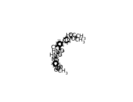 CC(C)(C)OC(=O)N1CCN(c2ccc(Cl)c(C(=O)NC(=O)Nc3nc4ccc(S(C)(=O)=O)cc4s3)c2)CC1